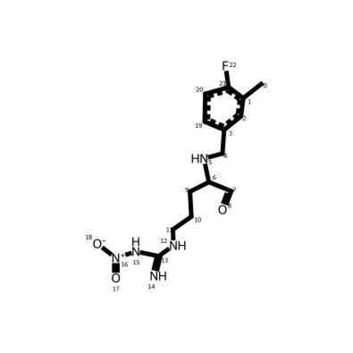 Cc1cc(CNC(C=O)CCCNC(=N)N[N+](=O)[O-])ccc1F